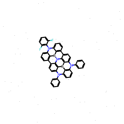 Fc1cccc(F)c1N1c2cccc3c2B2c4c(cccc41)-c1ccc4c5c1N2c1c-3ccc2c1B5c1c(cccc1N4c1ccccc1)N2c1ccccc1